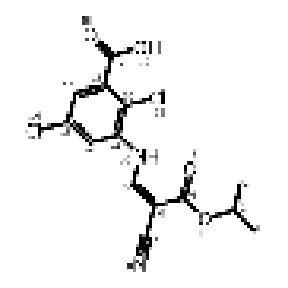 CC(C)OC(=O)C(C#N)=CNc1cc(Cl)cc(C(=O)O)c1Cl